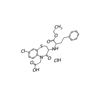 CCOC(=O)C(CCc1ccccc1)NC1CSc2cc(Cl)ccc2N(CC(=O)O)C1=O.Cl